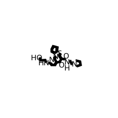 O=C(NCCN1CCCC1)c1c(=O)c2ccc(NCCO)nc2n2c1sc1ccccc12